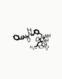 CC(C)CC1(C)NC(=N)N(Cc2cccc(CNC(=O)NCc3ccccc3)c2)C1=O